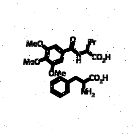 COc1cc(C(=O)NC(C(=O)O)C(C)C)cc(OC)c1OC.NC(Cc1ccccc1)C(=O)O